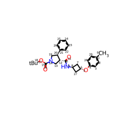 Cc1ccc(O[C@H]2C[C@H](NC(=O)[C@@H]3CN(C(=O)OC(C)(C)C)C[C@H]3c3ccccc3)C2)cc1